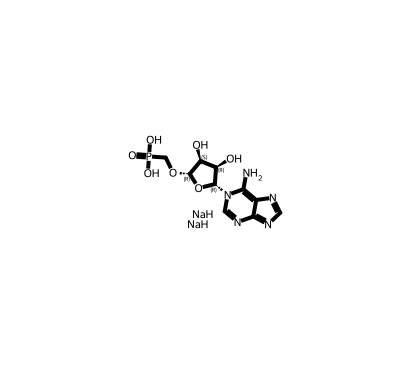 Nc1c2ncnc-2ncn1[C@@H]1O[C@H](OCP(=O)(O)O)[C@@H](O)[C@H]1O.[NaH].[NaH]